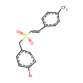 O=S(=O)(/C=C/c1ccc(C(F)(F)F)cc1)Cc1ccc(Br)cc1